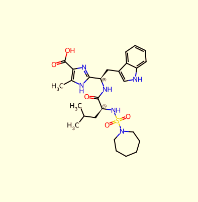 Cc1[nH]c([C@@H](Cc2c[nH]c3ccccc23)NC(=O)[C@H](CC(C)C)NS(=O)(=O)N2CCCCCC2)nc1C(=O)O